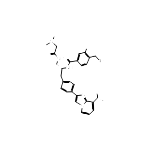 CC(C)Cc1ccc(C(=O)N[C@H](CNC(=O)CN(C)C)Cc2ccc(-c3cn4cccc([C@H](C)O)c4n3)cc2)cc1Cl